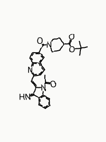 CC(=O)N1/C(=C\c2ccc3cc(C(=O)N4CCC(C(=O)OC(C)(C)C)CC4)ccc3n2)C(=N)c2ccccc21